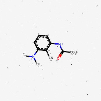 CCN(C)c1cccc(NC(=O)C(=O)O)c1C#N